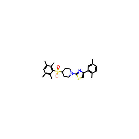 Cc1ccc(C)c(-c2csc(N3CCC(S(=O)(=O)c4c(C)c(C)cc(C)c4C)CC3)n2)c1